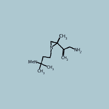 C=C(CN)C1(C)CN1CCC(C)(C)NC